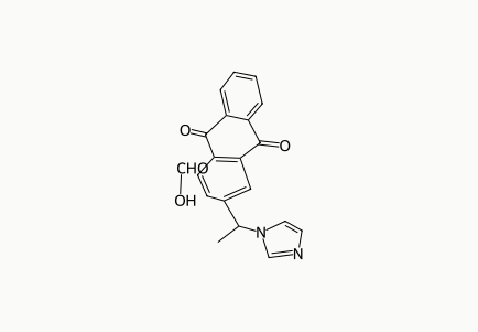 CC(c1ccc2c(c1)C(=O)c1ccccc1C2=O)n1ccnc1.O=CO